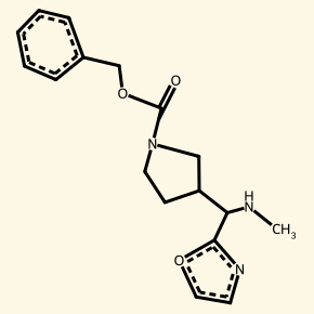 CNC(c1ncco1)C1CCN(C(=O)OCc2ccccc2)C1